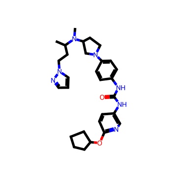 CC(CCn1cccn1)N(C)C1CCN(c2ccc(NC(=O)Nc3ccc(OC4CCCC4)nc3)cc2)C1